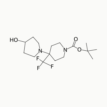 CC(C)(C)OC(=O)N1CCC(N2CCC(O)CC2)(C(F)(F)F)CC1